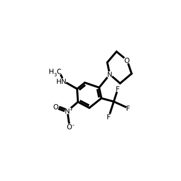 CNc1cc(N2CCOCC2)c(C(F)(F)F)cc1[N+](=O)[O-]